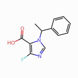 CC(c1ccccc1)n1cnc(F)c1C(=O)O